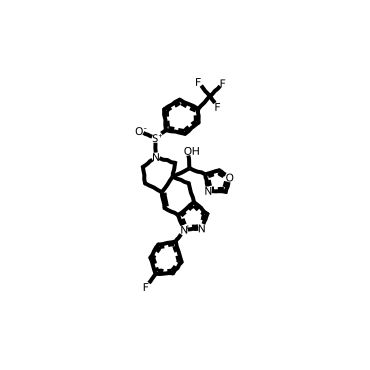 [O-][S+](c1ccc(C(F)(F)F)cc1)N1CCC2=Cc3c(cnn3-c3ccc(F)cc3)CC2(C(O)c2cocn2)C1